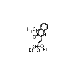 CCOP(=O)(/C=C/c1nc2ccccc2n(C)c1=O)OCC